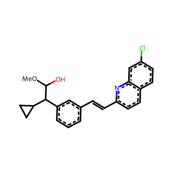 COC(O)C(c1cccc(C=Cc2ccc3ccc(Cl)cc3n2)c1)C1CC1